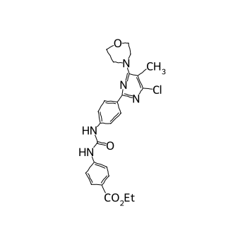 CCOC(=O)c1ccc(NC(=O)Nc2ccc(-c3nc(Cl)c(C)c(N4CCOCC4)n3)cc2)cc1